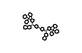 c1ccc(C2(c3ccccc3)c3ccccc3-c3ccc(N(c4ccc(-c5ccc(N(c6ccc7c(c6)C(c6ccccc6)(c6ccccc6)c6ccccc6-7)c6ccc7ccccc7c6)cc5)cc4)c4ccc5ccccc5c4)cc32)cc1